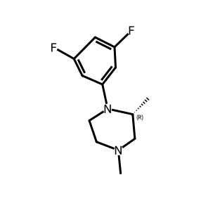 C[C@@H]1CN(C)CCN1c1cc(F)cc(F)c1